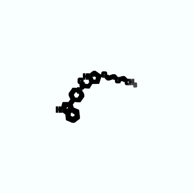 CCOCCO[C@H]1CN[C@H](CC(=O)N2CCC(c3c[nH]c4ccccc34)CC2)C1